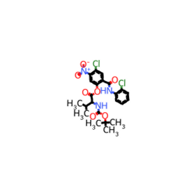 CC(C)C(NC(=O)OC(C)(C)C)C(=O)Oc1cc([N+](=O)[O-])c(Cl)cc1C(=O)Nc1ccccc1Cl